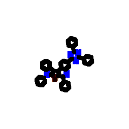 c1ccc(-c2nc(-c3ccccc3)nc(-c3ccc4c(c3)nc(-c3ccccc3)c3sc5c(c6ccccc6n5-c5ccccc5)c34)n2)cc1